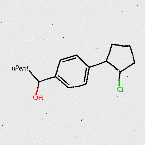 CCCCCC(O)c1ccc(C2CCCC2Cl)cc1